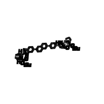 CC(C)(C)OC(=O)N1CCC[C@H]1c1ncc(-c2ccc(-c3ccc4cc(-c5ccc6nc([C@@H]7[C@H]8CC[C@H](C8)N7C(=O)OC(C)(C)C)[nH]c6c5)ccc4c3)cc2)[nH]1